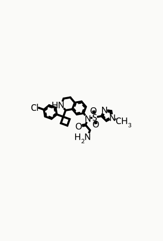 Cn1cnc(S(=O)(=O)N(C(=O)CN)c2ccc3c(c2)C(C2(c4ccc(Cl)cc4)CCC2)NCC3)c1